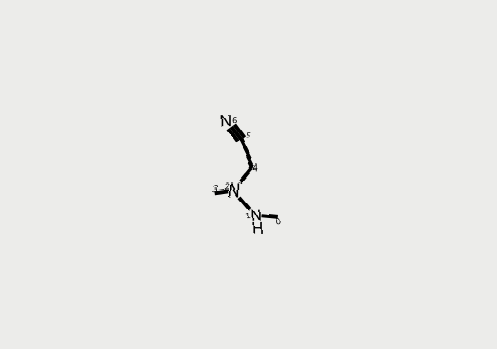 CNN(C)CC#N